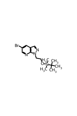 CC(C)(C)[Si](C)(C)OCCn1ncc2cc(Br)cnc21